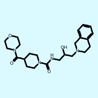 O=C(NCC(O)CN1CCc2ccccc2C1)N1CCC(C(=O)N2CCOCC2)CC1